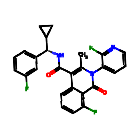 Cc1c(C(=O)N[C@H](c2cccc(F)c2)C2CC2)c2cccc(F)c2c(=O)n1-c1cccnc1F